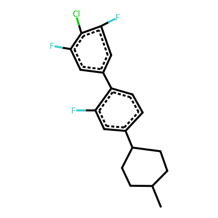 CC1CCC(c2ccc(-c3cc(F)c(Cl)c(F)c3)c(F)c2)CC1